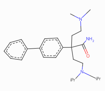 CC(C)N(CCC(CCN(C)C)(C(N)=O)c1ccc(-c2ccccc2)cc1)C(C)C